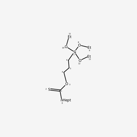 CCCCCCCC(=S)OCCC[Si](OCC)(OCC)OCC